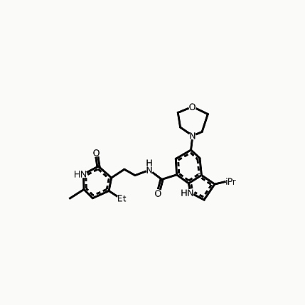 CCc1cc(C)[nH]c(=O)c1CCNC(=O)c1cc(N2CCOCC2)cc2c(C(C)C)c[nH]c12